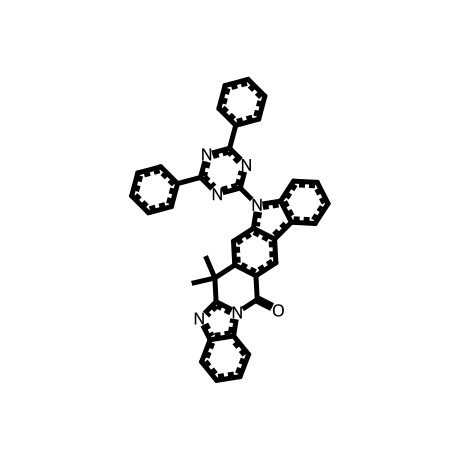 CC1(C)c2cc3c(cc2C(=O)n2c1nc1ccccc12)c1ccccc1n3-c1nc(-c2ccccc2)nc(-c2ccccc2)n1